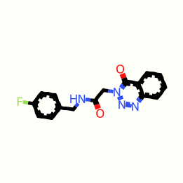 O=C(Cn1nnc2ccccc2c1=O)NCc1ccc(F)cc1